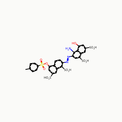 Cc1ccc(S(=O)(=O)Oc2cc(S(=O)(=O)O)cc3c(S(=O)(=O)O)c(/N=N/c4cc(S(=O)(=O)O)c5cc(S(=O)(=O)O)cc(O)c5c4N)ccc23)cc1